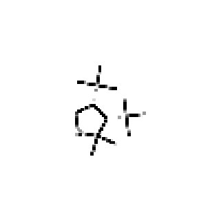 CC(C)(C)[C@H]1[C@@H](C(C)(C)C)COC1(C)C